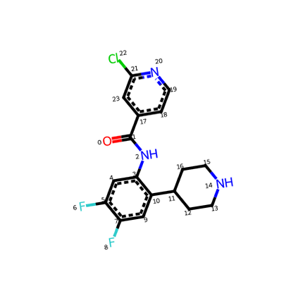 O=C(Nc1cc(F)c(F)cc1C1CCNCC1)c1ccnc(Cl)c1